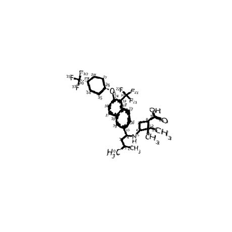 CC(C)CC(NC1CC(C(=O)O)C1(C)C)c1ccc2c(C(F)(F)F)c(O[C@H]3CC[C@@H](C(F)(F)F)CC3)ccc2c1